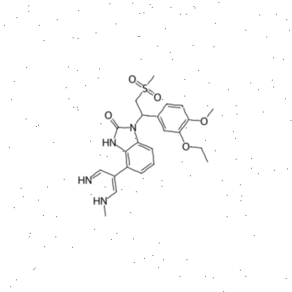 CCOc1cc(C(CS(C)(=O)=O)n2c(=O)[nH]c3c(/C(C=N)=C/NC)cccc32)ccc1OC